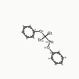 CCC(CC)(Oc1ccccc1)POc1ccccc1